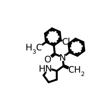 C=C(C1CCCN1)N(C(=O)c1c(C)cccc1Cl)c1ccccc1